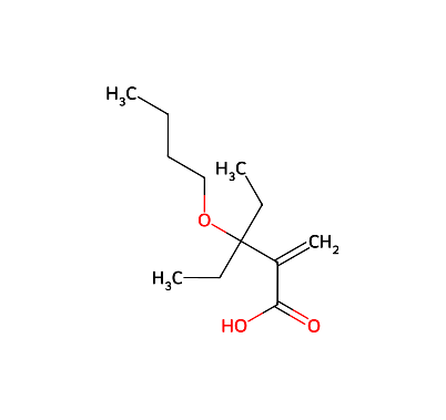 C=C(C(=O)O)C(CC)(CC)OCCCC